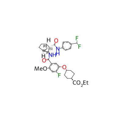 CCOC(=O)[C@H]1CC[C@@H](Oc2cc(C(=O)N[C@@H]3[C@H]4CC[C@H](C4)[C@@H]3C(=O)Nc3ccc(C(F)F)cc3)c(OC)cc2F)CC1